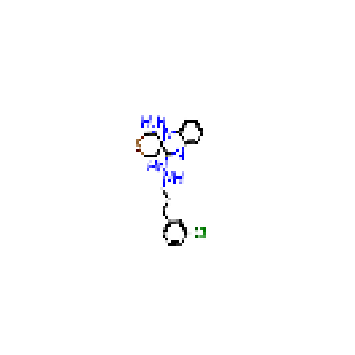 NN1c2ccccc2N=C(NNCCCc2cccc(Cl)c2)C12CCSCC2